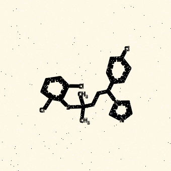 CC(C)(CCC(c1ccc(Cl)cc1)n1ccnc1)Sc1c(Cl)cccc1Cl